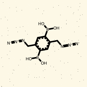 [N-]=[N+]=NCc1cc(B(O)O)c(CN=[N+]=[N-])cc1B(O)O